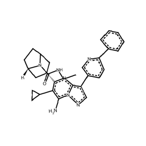 CCNC(=O)N1C2CC[C@H]1C[C@@H](c1nc3c(-c4ccc(-c5ccccc5)nc4)cnn3c(N)c1C1CC1)C2